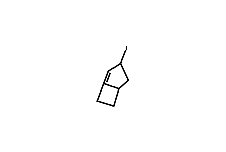 IC1C=C2CCC2C1